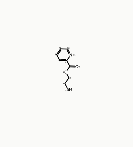 O=C(OCCS)c1ccccn1